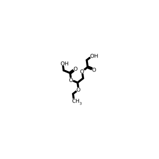 CCOC(COC(=O)CO)OC(=O)CO